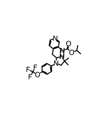 CC(C)OC(=O)Nc1cnccc1CC1NC(C)(C)CN1c1ccc(OC(F)(F)F)cc1